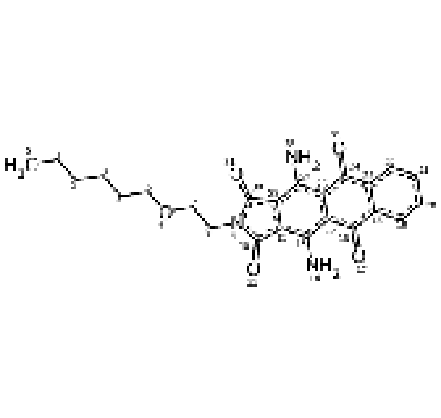 CCCCCCOCCn1c(=O)c2c(N)c3c(=O)c4ccccc4c(=O)c3c(N)c2c1=O